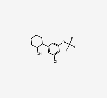 OC1CCCCC1c1cc(Cl)cc(OC(F)(F)F)c1